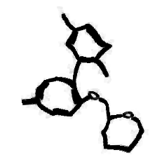 Cc1ccc(C)c(-c2cc(C)ccc2OC2CCCCO2)c1